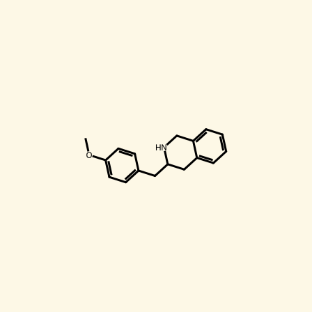 COc1ccc(CC2Cc3ccccc3CN2)cc1